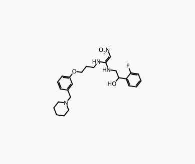 O=[N+]([O-])/C=C(\NCCCOc1cccc(CN2CCCCC2)c1)NCC(O)c1ccccc1F